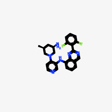 C[C@H]1C[C@@H](N)CN(c2ccncc2Nc2cccc3cnc(-c4c(F)cccc4F)nc23)C1